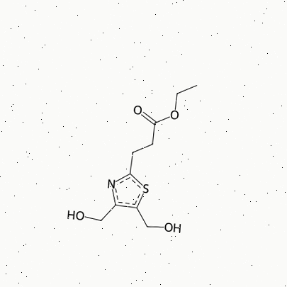 CCOC(=O)CCc1nc(CO)c(CO)s1